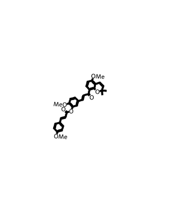 COc1ccc(C=CC(=O)Oc2cc(C=CC(=O)c3ccc(OC)c4c3OC(C)(C)C=C4)ccc2OC)cc1